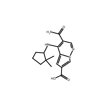 CC1(C)CCCC1Nc1c(C(N)=O)cnn2cc(C(=O)O)cc12